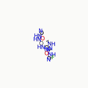 O=C(Nc1cccnc1)NC1CCC(Nc2cc(NC3CC3)c3ncc(C(=O)Nc4ccncc4F)n3n2)CC1